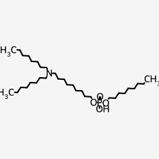 CCCCCCCCCOP(=O)(O)OCCCCCCCCCN(CCCCCCCC)CCCCCCCC